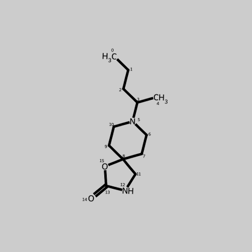 CCCC(C)N1CCC2(CC1)CNC(=O)O2